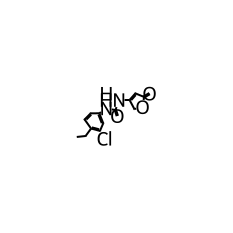 CCc1ccc(NC(=O)NC2=CC(=O)OC2)cc1Cl